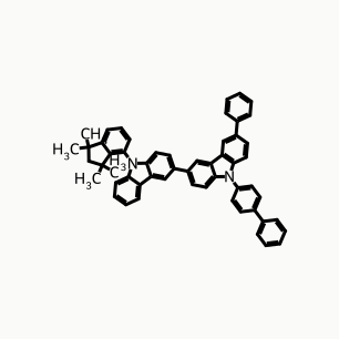 CC1(C)CC(C)(C)c2c(-n3c4ccccc4c4cc(-c5ccc6c(c5)c5cc(-c7ccccc7)ccc5n6-c5ccc(-c6ccccc6)cc5)ccc43)cccc21